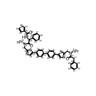 CCCN(Cc1ncc(-c2ccc(-c3ccc(-c4cnc(CN(CCC)C(=O)[C@@H](NC(=O)c5ccsc5)c5ccccc5)s4)cc3)cc2)s1)C(=O)Cc1ccccc1